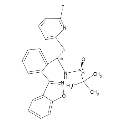 CC(C)(C)[S@+]([O-])N[C@@H](Cc1cccc(F)n1)c1ccccc1-c1noc2ccccc12